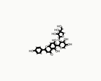 O=c1cc(-c2ccc(O)cc2)oc2cc(O)c(C3OCC(O)C(O)C3OC3OCC(O)(CO)C3O)c(O)c12